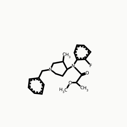 COC(C)C(=O)N(c1ccccc1F)C1CCN(Cc2ccccc2)CC1C